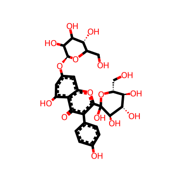 O=c1c(-c2ccc(O)cc2)c(C2(O)O[C@H](CO)[C@@H](O)[C@H](O)[C@H]2O)oc2cc(O[C@@H]3OC(CO)[C@@H](O)C(O)C3O)cc(O)c12